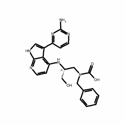 Nc1nccc(-c2c[nH]c3nccc(N[C@@H](CO)CN(Cc4ccccc4)C(=O)O)c23)n1